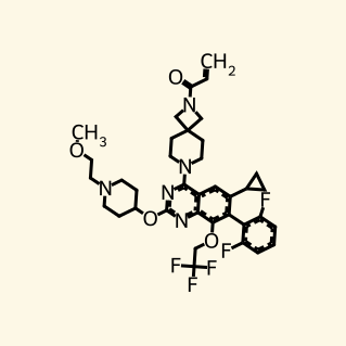 C=CC(=O)N1CC2(CCN(c3nc(OC4CCN(CCOC)CC4)nc4c(OCC(F)(F)F)c(-c5c(F)cccc5F)c(C5CC5)cc34)CC2)C1